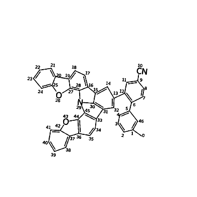 Cc1cccc(-c2ccc(C#N)cc2-c2cc3c4ccc5c6ccccc6oc5c4n4c3c(c2)c2ccc3c5ccccc5oc3c24)c1